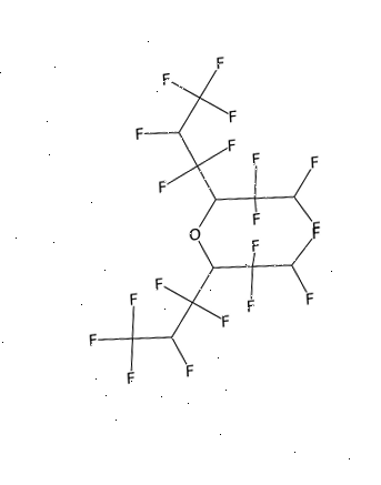 FC(F)C(F)(F)C(OC(C(F)(F)C(F)F)C(F)(F)C(F)C(F)(F)F)C(F)(F)C(F)C(F)(F)F